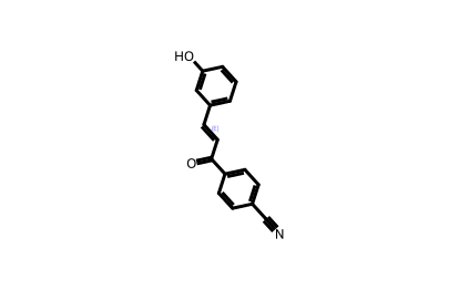 N#Cc1ccc(C(=O)/C=C/c2cccc(O)c2)cc1